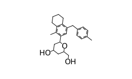 Cc1ccc(Cc2cc(C3CC(O)CC(CO)O3)c(C)c3c2CCCC3)cc1